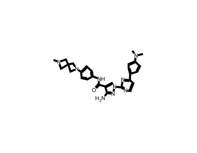 CN1CC2(C1)CN(c1ccc(NC(=O)c3cn(-c4nccc(-c5ccc(N(C)C)cc5)n4)nc3N)cc1)C2